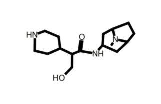 CN1C2CCC1CC(NC(=O)C(CO)C1CCNCC1)C2